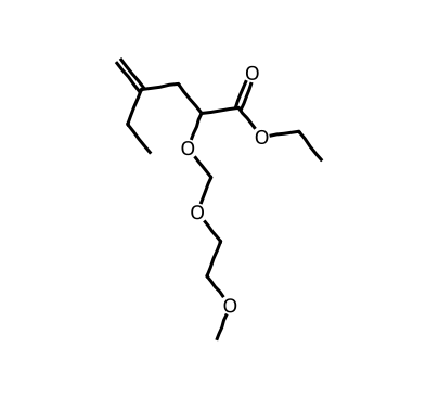 C=C(CC)CC(OCOCCOC)C(=O)OCC